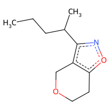 CCCC(C)c1noc2c1COCC2